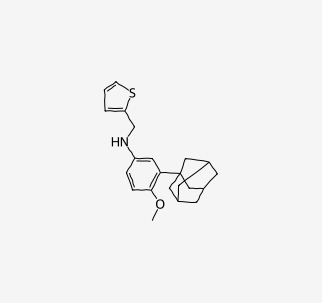 COc1ccc(NCc2cccs2)cc1C12CC3CC(CC(C3)C1)C2